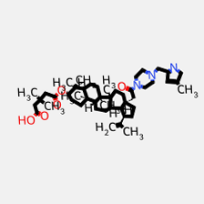 C=C(C)[C@@H]1CC[C@]2(CC(=O)N3CCN(CC4=NCC(C)=C4)CC3)CC[C@]3(C)[C@H](CC[C@@H]4[C@@]5(C)CC[C@H](OC(=O)CC(C)(C)CC(=O)O)C(C)(C)[C@@H]5CC[C@]43C)[C@@H]12